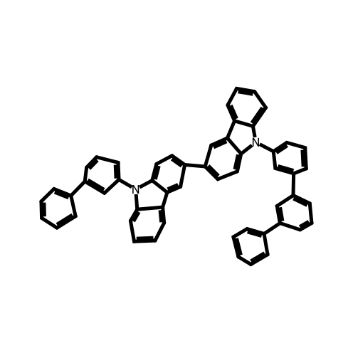 c1ccc(-c2cccc(-c3cccc(-n4c5ccccc5c5cc(-c6ccc7c(c6)c6ccccc6n7-c6cccc(-c7ccccc7)c6)ccc54)c3)c2)cc1